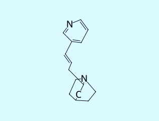 C(=Cc1cccnc1)CC1CC2CCN1CC2